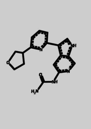 NC(=O)Nc1cc2c(-c3cccc(C4CCOC4)n3)c[nH]c2cn1